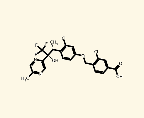 Cc1cnc([C@](O)([C@H](C)c2ccc(OCc3ccc(C(=O)O)cc3Cl)cc2Cl)C(F)(F)F)cn1